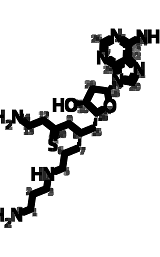 NCCCNCCC[C@H](CC(=S)CCN)C[C@H]1O[C@@H](n2cnc3c(N)ncnc32)C[C@@H]1O